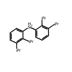 CC(C)c1cccc([SiH2]c2cccc(C(C)C)c2C(C)C)c1C(C)C